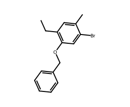 CCc1cc(C)c(Br)cc1OCc1ccccc1